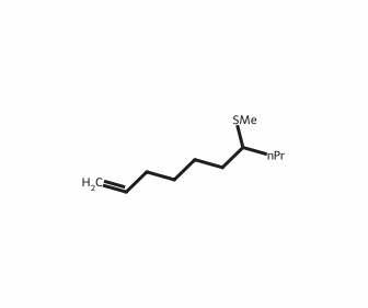 C=CCCCCC(CCC)SC